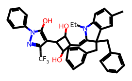 CCN1C(=CC2C(O)C(c3c(C(F)(F)F)nn(-c4ccccc4)c3O)C2O)C(Cc2ccccc2)(Cc2ccccc2)c2cc(C)ccc21